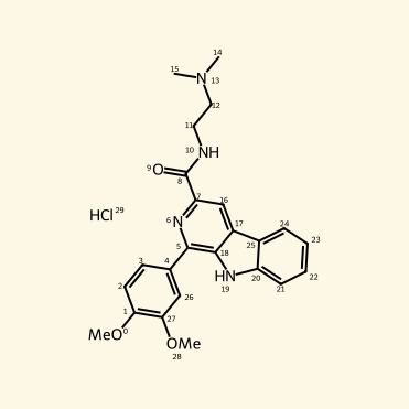 COc1ccc(-c2nc(C(=O)NCCN(C)C)cc3c2[nH]c2ccccc23)cc1OC.Cl